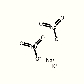 [K+].[Na+].[O]=[Nb](=[O])[O-].[O]=[Nb](=[O])[O-]